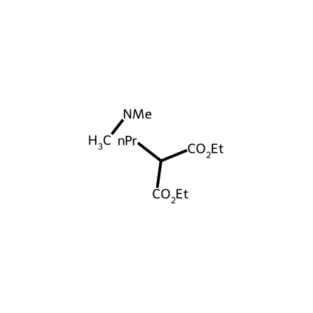 CCCC(C(=O)OCC)C(=O)OCC.CNC